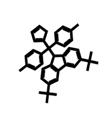 Cc1ccc(C(C2=CC=CC2)(c2ccc(C)cc2)C2c3ccc(C(C)(C)C)cc3-c3cc(C(C)(C)C)ccc32)cc1